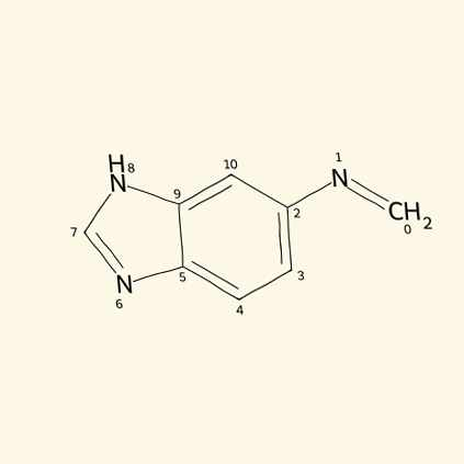 C=Nc1ccc2nc[nH]c2c1